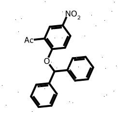 CC(=O)c1cc([N+](=O)[O-])ccc1OC(c1ccccc1)c1ccccc1